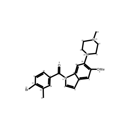 COc1cc2ccn(C(=O)c3ccc(Br)c(C)c3)c2cc1N1CCN(C)CC1